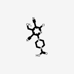 CCc1c(C#N)c(Cl)nc(N2CCN(C(=O)O)CC2)c1C#N